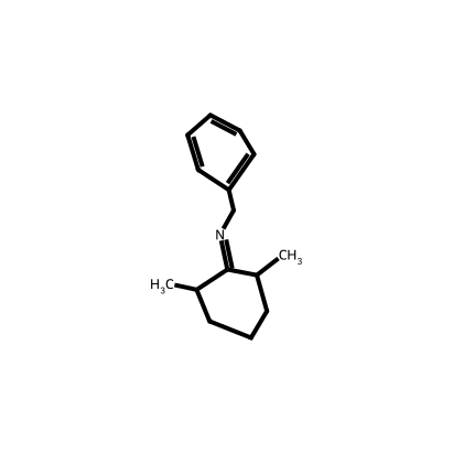 CC1CCCC(C)C1=NCc1ccccc1